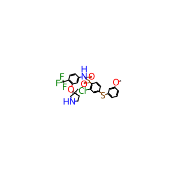 COc1cccc(Sc2ccc(S(=O)(=O)Nc3ccc(C(F)(F)F)c(O[C@]4(C)CCNC4)c3)c(Cl)c2)c1